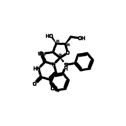 Cc1cn([C@]2([SiH](c3ccccc3)c3ccccc3)O[C@H](CO)[C@@H](O)C2C(C)(C)C)c(=O)[nH]c1=O